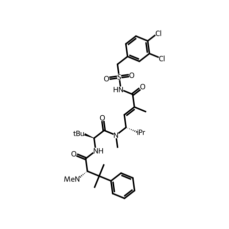 CN[C@H](C(=O)N[C@H](C(=O)N(C)[C@H](C=C(C)C(=O)NS(=O)(=O)Cc1ccc(Cl)c(Cl)c1)C(C)C)C(C)(C)C)C(C)(C)c1ccccc1